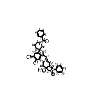 O=C(c1ccccc1)N1CCC[C@](CCCN2CCC(O)(CS(=O)(=O)c3ccccc3)CC2)(c2ccc(Cl)c(Cl)c2)C1